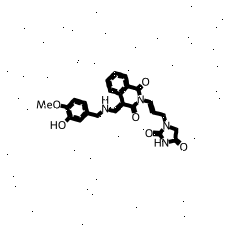 COc1ccc(CN/C=C2/C(=O)N(/C=C/CN3CC(=O)NC3=O)C(=O)c3ccccc32)cc1O